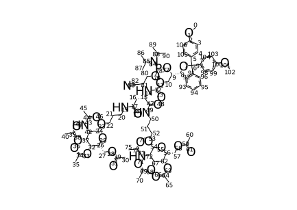 COc1ccc(C(OC[C@H](COC(=O)N[C@@H](CC(=O)NCCCO[C@@H]2O[C@H](COC(C)=O)[C@H](OC(C)=O)[C@H](OC(C)=O)[C@H]2NC(C)=O)C(=O)NCCCO[C@@H]2O[C@H](COC(C)=O)[C@H](OC(C)=O)[C@H](OC(C)=O)[C@H]2NC(C)=O)OP(OCCC#N)N(C(C)C)C(C)C)(c2ccccc2)c2ccc(OC)cc2)cc1